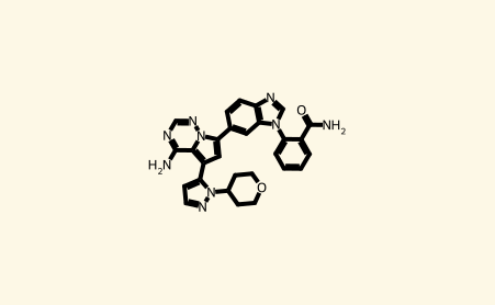 NC(=O)c1ccccc1-n1cnc2ccc(-c3cc(-c4ccnn4C4CCOCC4)c4c(N)ncnn34)cc21